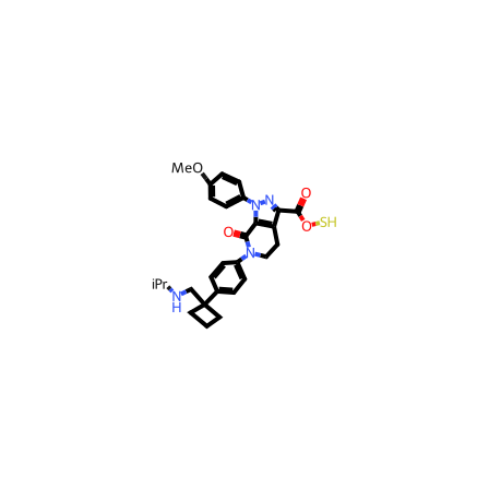 COc1ccc(-n2nc(C(=O)OS)c3c2C(=O)N(c2ccc(C4(CNC(C)C)CCC4)cc2)CC3)cc1